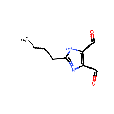 CCCCc1nc(C=O)c(C=O)[nH]1